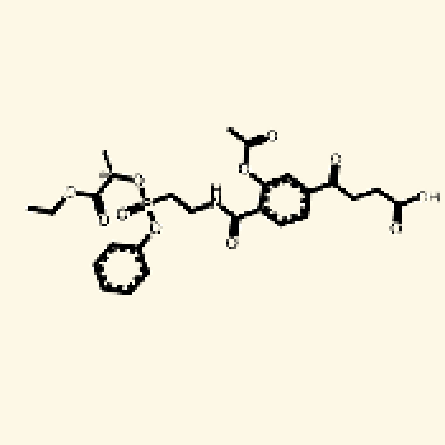 CCOC(=O)[C@@H](C)OP(=O)(CCNC(=O)c1ccc(C(=O)CCC(=O)O)cc1OC(C)=O)Oc1ccccc1